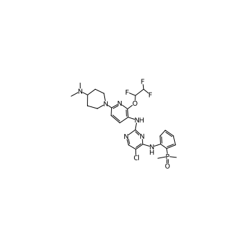 CN(C)C1CCN(c2ccc(Nc3ncc(Cl)c(Nc4ccccc4P(C)(C)=O)n3)c(OC(F)C(F)F)n2)CC1